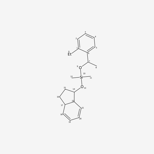 CCc1ccccc1C(C)O[Si](C)(C)OC1CCC2C=CC=CC21